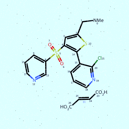 CNCc1cc(S(=O)(=O)c2cccnc2)c(-c2cccnc2Cl)s1.O=C(O)/C=C/C(=O)O